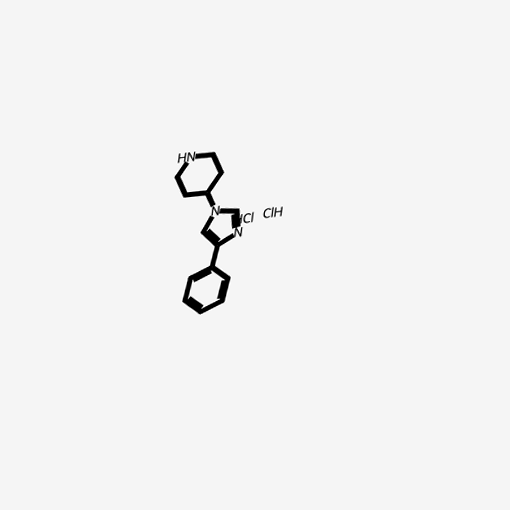 Cl.Cl.c1ccc(-c2cn(C3CCNCC3)cn2)cc1